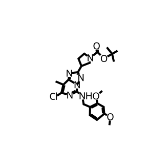 COc1ccc(CNc2nc(Cl)c(C)c3nc(C4CCN(C(=O)OC(C)(C)C)C4)nn23)c(OC)c1